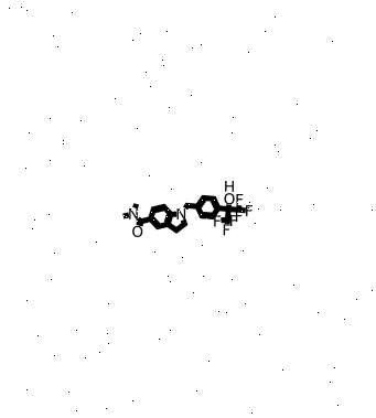 CN(C)C(=O)c1ccc2c(c1)CCN2Cc1ccc(C(O)(C(F)(F)F)C(F)(F)F)cc1